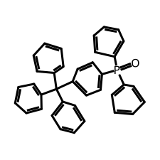 O=P(c1ccccc1)(c1ccccc1)c1ccc(C(c2ccccc2)(c2ccccc2)c2ccccc2)cc1